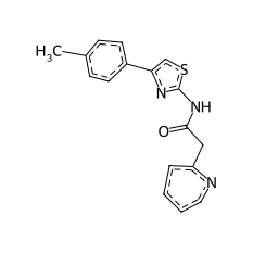 Cc1ccc(-c2csc(NC(=O)Cc3ccccn3)n2)cc1